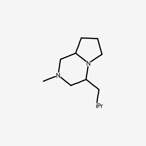 CC(C)CC1CN(C)CC2CCCN21